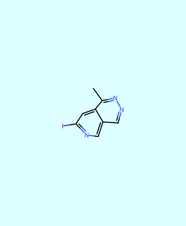 Cc1nncc2cnc(I)cc12